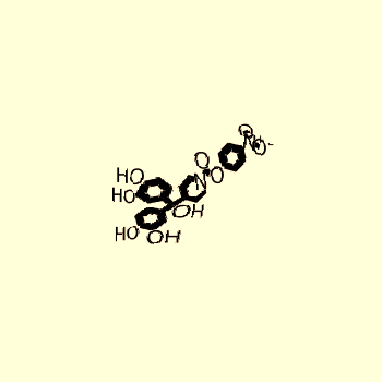 O=C(Oc1ccc([N+](=O)[O-])cc1)N1CCC(C(O)(c2ccc(O)c(O)c2)c2ccc(O)c(O)c2)CC1